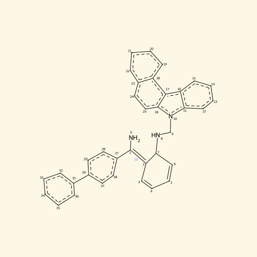 N/C(=C1/C=CC=CC1NCn1c2ccccc2c2c3ccccc3ccc21)c1ccc(-c2ccccc2)cc1